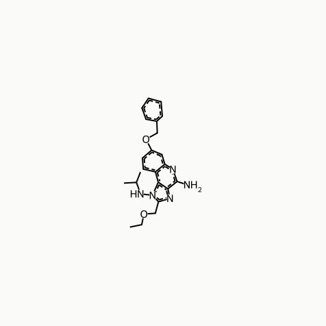 CCOCc1nc2c(N)nc3cc(OCc4ccccc4)ccc3c2n1NC(C)C